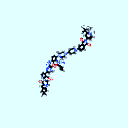 C=CC(=O)Nc1cc(Nc2nc(-c3ccnc(N4CCn5c(cc6c5CC(C)(C)C6)C4=O)c3CO)cn(C)c2=O)ccc1N1CCN(C2CCN(c3ccc4c(c3)C(=O)N(c3ccnc(C(C)(C)C(F)(F)F)c3)C4=O)CC2)C[C@@H]1C